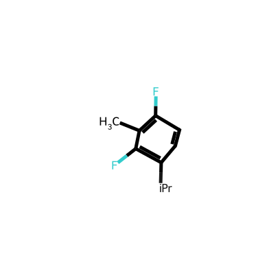 Cc1c(F)ccc(C(C)C)c1F